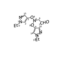 CCn1cc(ON(CC=O)Oc2cnn(CC)c2)cn1